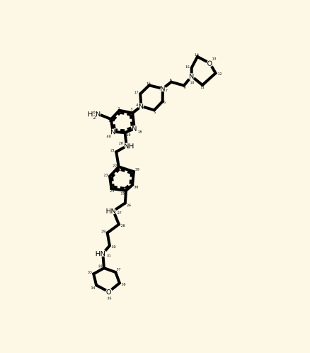 Nc1cc(N2CCN(CCN3CCOCC3)CC2)nc(NCc2ccc(CNCCCNC3CCOCC3)cc2)n1